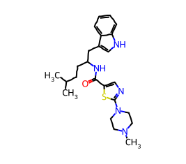 CC(C)CCC(Cc1c[nH]c2ccccc12)NC(=O)c1cnc(N2CCN(C)CC2)s1